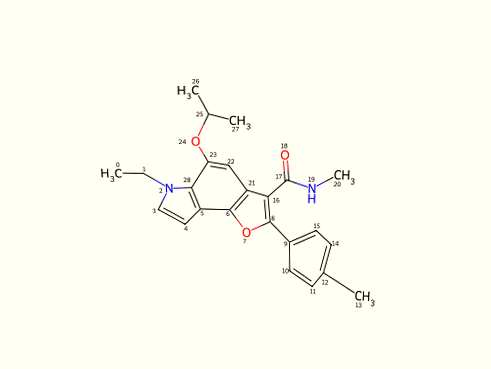 CCn1ccc2c3oc(-c4ccc(C)cc4)c(C(=O)NC)c3cc(OC(C)C)c21